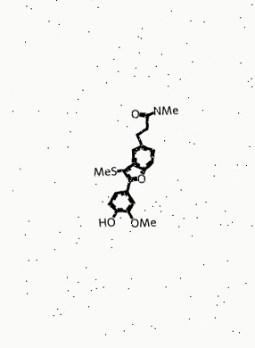 CNC(=O)CCc1ccc2oc(-c3ccc(O)c(OC)c3)c(SC)c2c1